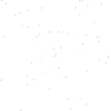 Clc1cccc(-c2c3c(c(-c4ccccc4)c(-c4ccccc4)c2C2=CCCC=C2)-c2ccccc2C3)c1